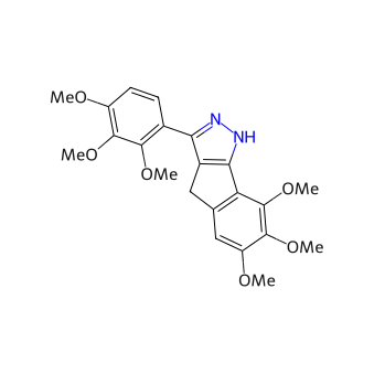 COc1ccc(-c2n[nH]c3c2Cc2cc(OC)c(OC)c(OC)c2-3)c(OC)c1OC